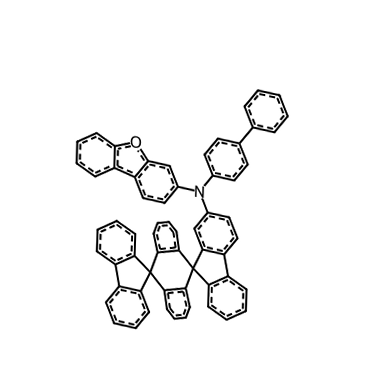 c1ccc(-c2ccc(N(c3ccc4c(c3)C3(c5ccccc5-4)c4ccccc4C4(c5ccccc5-c5ccccc54)c4ccccc43)c3ccc4c(c3)oc3ccccc34)cc2)cc1